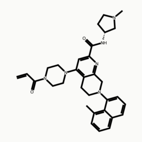 C=CC(=O)N1CCN(c2cc(C(=O)N[C@@H]3CCN(C)C3)nc3c2CCN(c2cccc4cccc(C)c24)C3)CC1